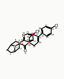 O=C(CN1C2CCC1CN(c1ccc(C(F)(F)F)cn1)C2)N1CC=C(c2ccc(Cl)cc2)CC1